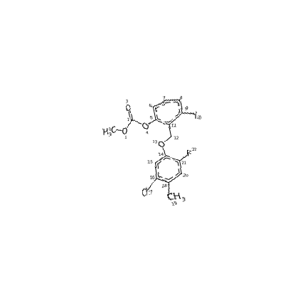 COC(=O)Oc1cccc(I)c1COc1cc(Cl)c(C)cc1F